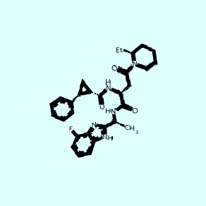 CC[C@H]1CCCCN1C(=O)C[C@H](NC(=O)[C@H]1C[C@@H]1c1ccccc1)C(=O)N[C@@H](C)c1nc2c(F)cccc2[nH]1